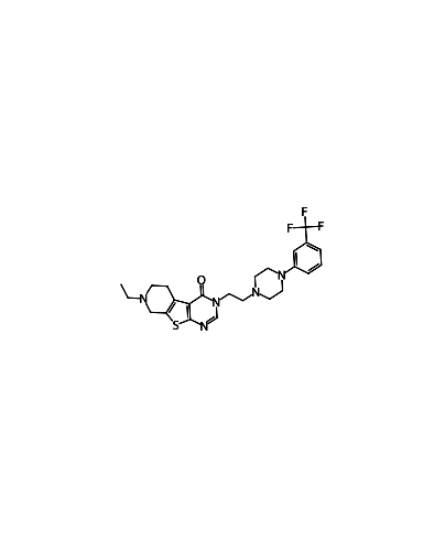 CCN1CCc2c(sc3ncn(CCN4CCN(c5cccc(C(F)(F)F)c5)CC4)c(=O)c23)C1